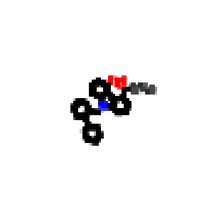 COC(=O)c1cccc2c1c1c(O)cccc1n2Cc1ccccc1-c1ccccc1